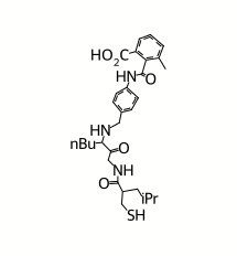 CCCCC(NCc1ccc(NC(=O)c2c(C)cccc2C(=O)O)cc1)C(=O)CNC(=O)C(CS)CC(C)C